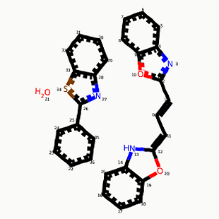 C(=Cc1nc2ccccc2o1)C=C1Nc2ccccc2O1.O.c1ccc(-c2nc3ccccc3s2)cc1